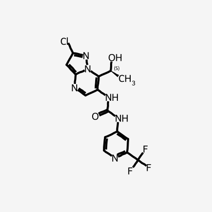 C[C@H](O)c1c(NC(=O)Nc2ccnc(C(F)(F)F)c2)cnc2cc(Cl)nn12